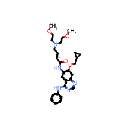 COCCN(C/C=C/C(=O)Nc1cc2c(Nc3ccccc3)ncnc2cc1OCC1CC1)CCOC